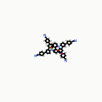 N#Cc1ccc(-c2ccc3c(c2)c2cc(-c4ccc(C#N)cc4)ccc2n3-c2ccc(C#N)cc2-c2c(-n3c4ccc(-c5ccc(C#N)cc5)cc4c4cc(-c5ccc(C#N)cc5)ccc43)cccc2C(F)(F)F)cc1